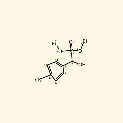 CCOP(=O)(OCC)C(O)c1ccc(Cl)cc1